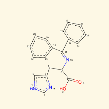 O=C(O)C(Cc1c[nH]cn1)N=C(c1ccccc1)c1ccccc1